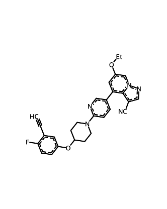 C#Cc1cc(OC2CCN(c3ccc(-c4cc(OCC)cn5ncc(C#N)c45)cn3)CC2)ccc1F